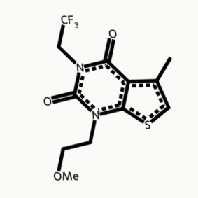 COCCn1c(=O)n(CC(F)(F)F)c(=O)c2c(C)csc21